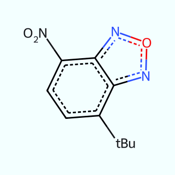 CC(C)(C)c1ccc([N+](=O)[O-])c2nonc12